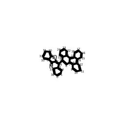 c1ccc2c(-c3cc4c5ccccc5c5ccccc5c4c4ccccc34)c3oc4ccccc4c3nc2c1